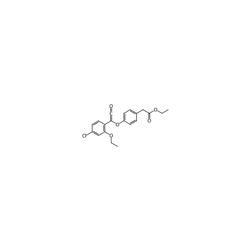 CCOC(=O)Cc1ccc(OC(=C=O)c2ccc(Cl)cc2OCC)cc1